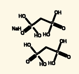 O=P(O)(O)CP(=O)(O)O.O=P(O)(O)CP(=O)(O)O.[NaH]